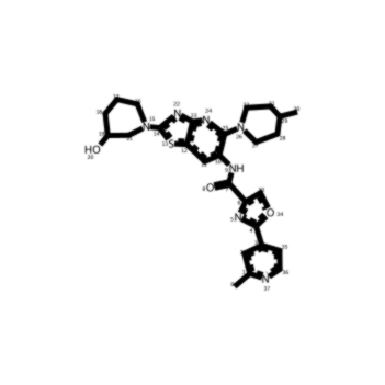 Cc1cc(-c2nc(C(=O)Nc3cc4sc(N5CCCC(O)C5)nc4nc3N3CCC(C)CC3)co2)ccn1